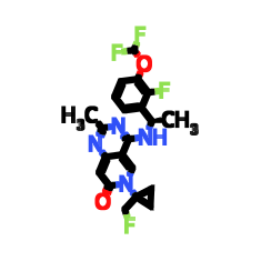 Cc1nc(N[C@H](C)c2cccc(OC(F)F)c2F)c2cn(C3(CF)CC3)c(=O)cc2n1